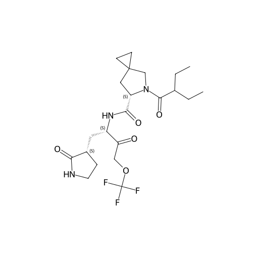 CCC(CC)C(=O)N1CC2(CC2)C[C@H]1C(=O)N[C@@H](C[C@@H]1CCNC1=O)C(=O)COC(F)(F)F